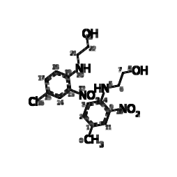 Cc1ccc(NCCO)c([N+](=O)[O-])c1.O=[N+]([O-])c1cc(Cl)ccc1NCCO